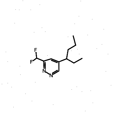 CCCC(CC)c1cnnc(C(F)F)c1